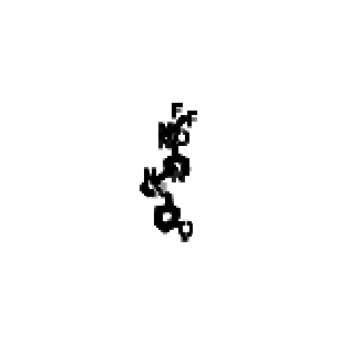 COc1cccc(Cn2ccnc2-c2cc(-c3nnc(C(F)F)o3)ccn2)c1